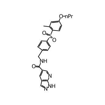 CCCOc1ccc(S(=O)(=O)c2ccc(CNC(=O)c3cnc4[nH]ncc4c3)cc2)c(C)c1